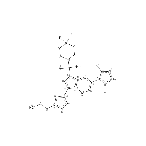 [2H]C([2H])(C1CCC(F)(F)CC1)n1cc(-c2cnn(CCC#N)c2)c2ncc(-c3c(C)noc3C)cc21